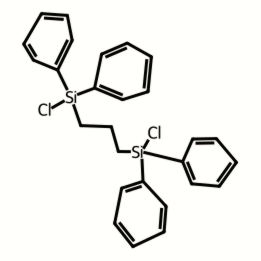 Cl[Si](CCC[Si](Cl)(c1ccccc1)c1ccccc1)(c1ccccc1)c1ccccc1